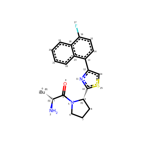 CC[C@@H](C)[C@H](N)C(=O)N1CCC[C@H]1c1nc(-c2ccc(F)c3ccccc23)cs1